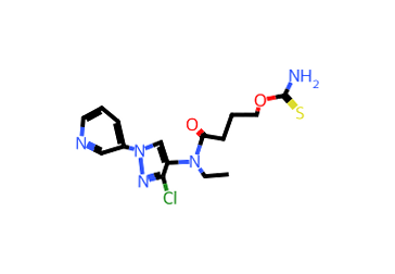 CCN(C(=O)CCCOC(N)=S)c1cn(-c2cccnc2)nc1Cl